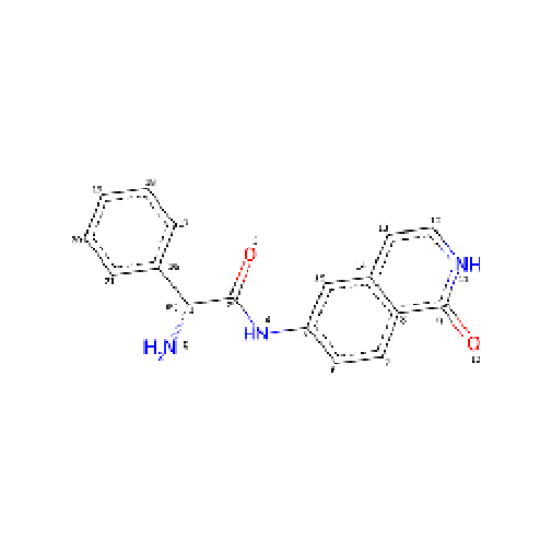 N[C@@H](C(=O)Nc1ccc2c(=O)[nH]ccc2c1)c1ccccc1